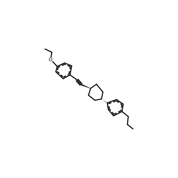 CCCc1ccc([C@H]2CC[C@H](C#Cc3ccc(OCC)cc3)CC2)cc1